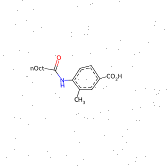 CCCCCCCCC(=O)Nc1ccc(C(=O)O)cc1C